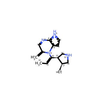 C=C1C=Nc2[nH]ccc2N1/C(=C\C)[C@H]1CNC[C@H]1CC